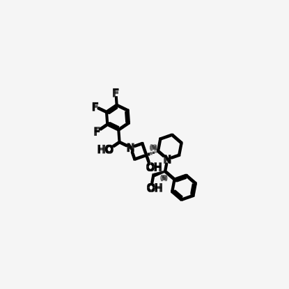 OC[C@H](c1ccccc1)N1CCCC[C@H]1C1(O)CN(C(O)c2ccc(F)c(F)c2F)C1